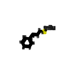 CCCCSCC=Cc1ccccc1